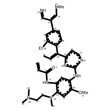 C=CC(=O)Nc1cc(Nc2nccc(/C(=C/C)c3ccc(/C(C=N)=C/NC)cc3CC)n2)c(OC)cc1N(C)CCN(C)C